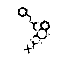 CC(C)(C)OC(=O)N[C@H]1CNc2ccccc2N(CC(=O)OCc2ccccc2)C1=O